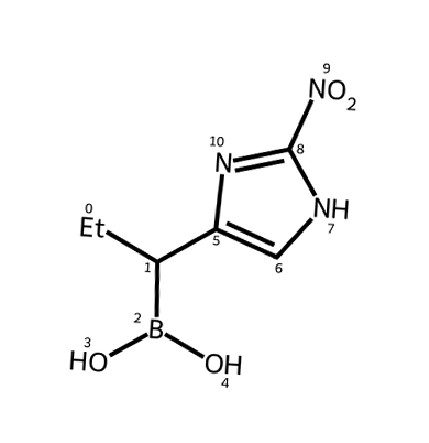 CCC(B(O)O)c1c[nH]c([N+](=O)[O-])n1